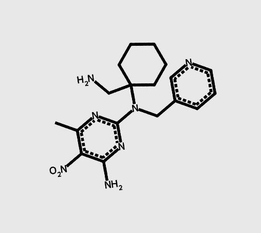 Cc1nc(N(Cc2cccnc2)C2(CN)CCCCC2)nc(N)c1[N+](=O)[O-]